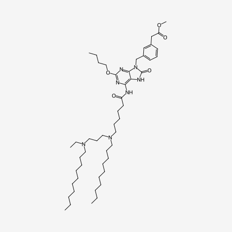 CCCCCCCCCCN(CC)CCCN(CCCCCCCCCC)CCCCCC(=O)Nc1nc(OCCCC)nc2c1[nH]c(=O)n2Cc1cccc(CC(=O)OC)c1